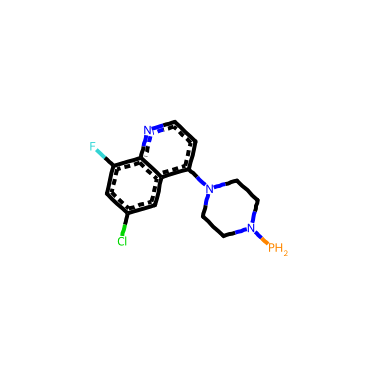 Fc1cc(Cl)cc2c(N3CCN(P)CC3)ccnc12